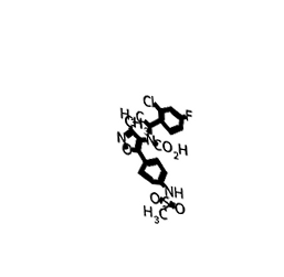 Cc1noc(-c2ccc(NS(C)(=O)=O)cc2)c1N(C(=O)O)C(C)c1ccc(F)cc1Cl